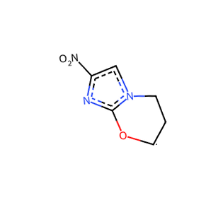 O=[N+]([O-])c1cn2c(n1)O[CH]CC2